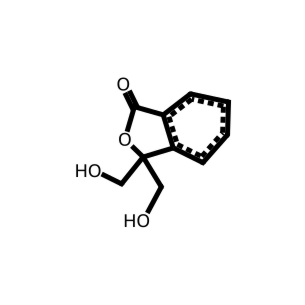 O=C1OC(CO)(CO)c2ccccc21